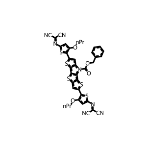 CCCOc1cc(N=C(C#N)C#N)sc1-c1cc2c(s1)c1sc3cc(-c4sc(N=C(C#N)C#N)cc4OCCC)sc3c1n2C(=O)OCc1ccccc1